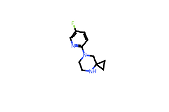 Fc1ccc(N2CCNC3(CC3)C2)nc1